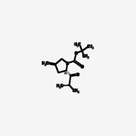 C=C1C[C@@H](C(=O)C(C)C)N(C(=O)OC(C)(C)C)C1